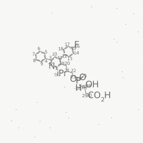 CC(C)c1nc(-c2ccccc2)cc(-c2ccc(F)cc2)c1CCCO[PH](=O)C[C@@H](O)CC(=O)O